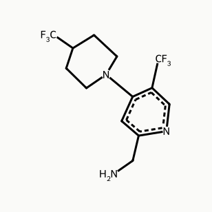 NCc1cc(N2CCC(C(F)(F)F)CC2)c(C(F)(F)F)cn1